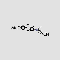 COc1ccc(C(=O)Oc2ccc(/C=C/C(=O)OCCC#N)c(C)c2)cc1